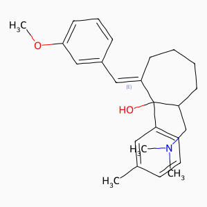 COc1cccc(/C=C2\CCCCC(CN(C)C)C2(O)c2cccc(C)c2)c1